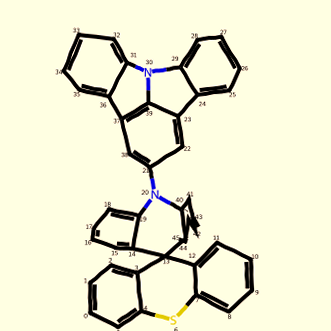 c1ccc2c(c1)Sc1ccccc1C21c2ccccc2N(c2cc3c4ccccc4n4c5ccccc5c(c2)c34)c2ccccc21